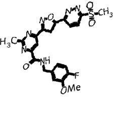 COc1cc(CNC(=O)c2cc(C3=NOC(c4ccc(S(C)(=O)=O)nn4)C3)nc(C)n2)ccc1F